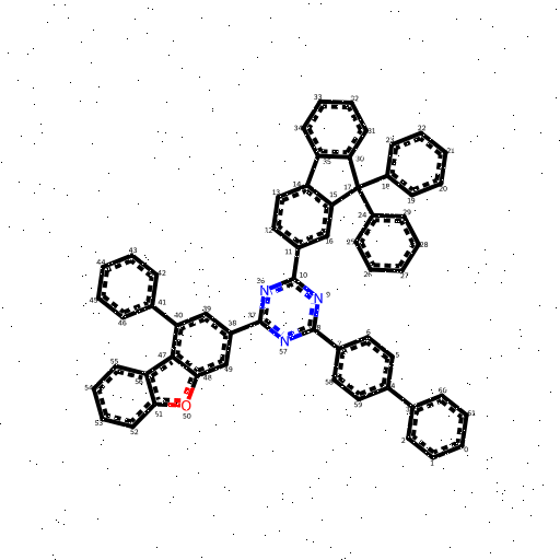 c1ccc(-c2ccc(-c3nc(-c4ccc5c(c4)C(c4ccccc4)(c4ccccc4)c4ccccc4-5)nc(-c4cc(-c5ccccc5)c5c(c4)oc4ccccc45)n3)cc2)cc1